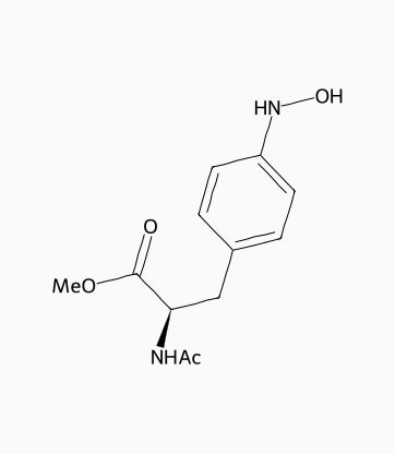 COC(=O)[C@@H](Cc1ccc(NO)cc1)NC(C)=O